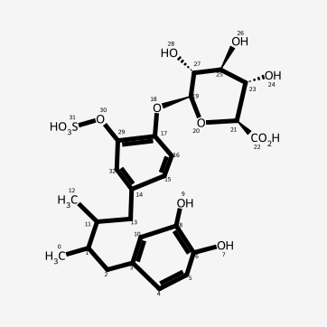 CC(Cc1ccc(O)c(O)c1)C(C)Cc1ccc(O[C@@H]2O[C@H](C(=O)O)[C@@H](O)[C@H](O)[C@H]2O)c(OS(=O)(=O)O)c1